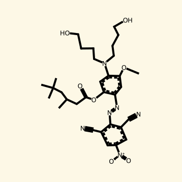 COc1cc(/N=N/c2c(C#N)cc([N+](=O)[O-])cc2C#N)c(OC(=O)CC(C)CC(C)(C)C)cc1N(CCCCO)CCCCO